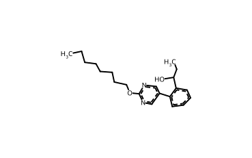 CCCCCCCCOc1ncc(-c2ccccc2C(O)CC)cn1